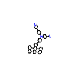 N#Cc1ccc(N(c2ccc(-c3ccncc3)cc2)c2ccc(-c3ccc4c(-c5cccc6ccccc56)c5ccccc5c(-c5cccc6ccccc56)c4c3)cc2)cc1